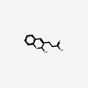 O=C(O)CCC1=Cc2ccccc2OC1O